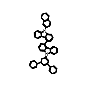 C1=CCC(C2C=C(C3=CCCC=C3)C=C(n3c4ccccc4c4c(-c5cccc6c5c5ccccc5n6-c5ccc6c(c5)CCC=C6)cccc43)C2)C=C1